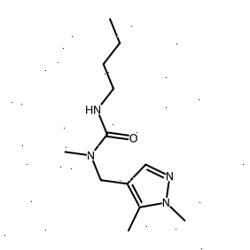 CCCCNC(=O)N(C)Cc1cnn(C)c1C